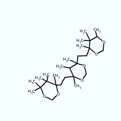 CC1C(C)(CCC2(C)OCOC(C)C2(C)C)OCOC1(C)CCC1(C)OCOC(C)(C)C1(C)C